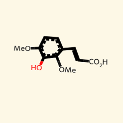 COc1ccc(C=CC(=O)O)c(OC)c1O